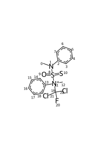 CN(c1ccccc1)S(=O)(=S)[N+](C)(c1ccccc1)C(F)(Cl)Cl